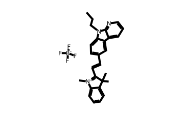 CCCn1c2ccc(C=CC3=[N+](C)c4ccccc4C3(C)C)cc2c2cccnc21.F[B-](F)(F)F